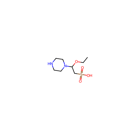 CCOC(CS(=O)(=O)O)N1CCNCC1